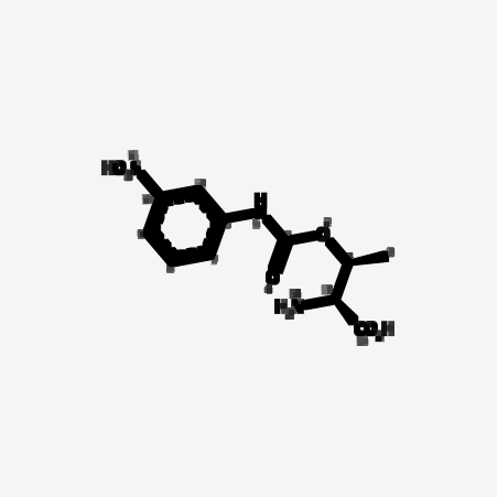 C[C@H](OC(=O)Nc1cccc(S(=O)(=O)O)c1)[C@H](N)C(=O)O